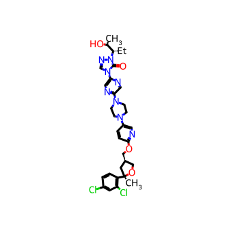 CC[C@@H]([C@H](C)O)n1ncn(-c2cnc(N3CCN(c4ccc(OC[C@H]5CO[C@](C)(c6ccc(Cl)cc6Cl)C5)nc4)CC3)cn2)c1=O